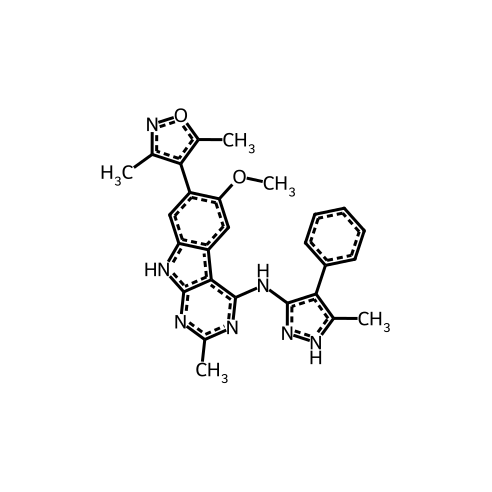 COc1cc2c(cc1-c1c(C)noc1C)[nH]c1nc(C)nc(Nc3n[nH]c(C)c3-c3ccccc3)c12